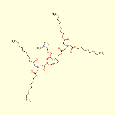 CCCCCCCCOC(=O)CN(CC(=O)OCCCCCCCC)CC(=O)OC[C@@H]1CC[C@@H](COC(=O)CN(CC(=O)OCCCCCCCC)CC(=O)OCCCCCCCC)N1C(=O)OCCN(C)C